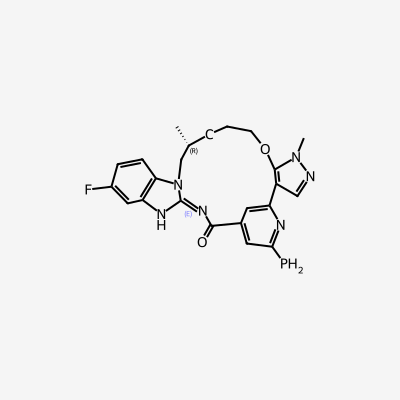 C[C@@H]1CCCOc2c(cnn2C)-c2cc(cc(P)n2)C(=O)/N=C2\Nc3cc(F)ccc3N2C1